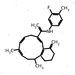 C=C1CCCC2=C1/C=C(/C(=C)Nc1ccc(C)c(F)c1)C/C=C\C(C)=C/CC2C